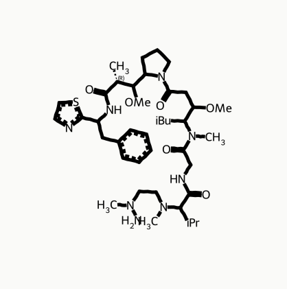 CCC(C)C(C(CC(=O)N1CCCC1C(OC)[C@@H](C)C(=O)NC(Cc1ccccc1)c1nccs1)OC)N(C)C(=O)CNC(=O)C(C(C)C)N(C)CCN(C)N